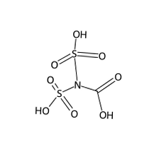 O=C(O)N(S(=O)(=O)O)S(=O)(=O)O